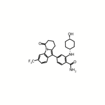 NC(=O)c1ccc(-c2c3n(c4cc(C(F)(F)F)ccc24)C(=O)CCC3)cc1N[C@H]1CC[C@H](O)CC1